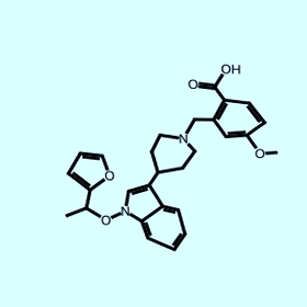 COc1ccc(C(=O)O)c(CN2CCC(c3cn(OC(C)c4ccco4)c4ccccc34)CC2)c1